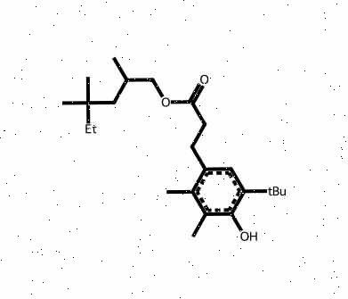 CCC(C)(C)CC(C)COC(=O)CCc1cc(C(C)(C)C)c(O)c(C)c1C